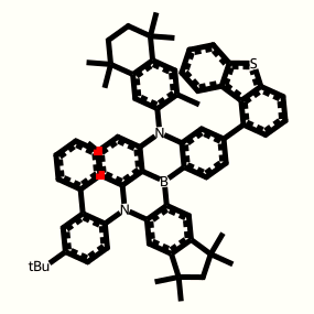 Cc1cc2c3c(c1)N(c1ccc(C(C)(C)C)cc1-c1ccccc1)c1cc4c(cc1B3c1ccc(-c3cccc5sc6ccccc6c35)cc1N2c1cc2c(cc1C)C(C)(C)CCC2(C)C)C(C)(C)CC4(C)C